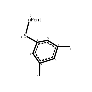 CCCCCSc1cc(C)cc(C)c1